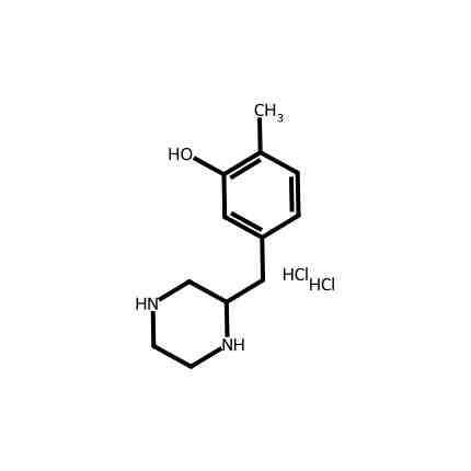 Cc1ccc(CC2CNCCN2)cc1O.Cl.Cl